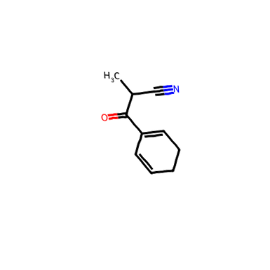 CC(C#N)C(=O)C1=CCCC=C1